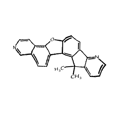 CC1(C)c2cccnc2-c2ccc3oc4c5ccncc5ccc4c3c21